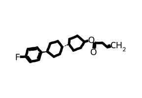 C=CCC(=O)OC1CCC([C@H]2CC[C@H](c3ccc(F)cc3)CC2)CC1